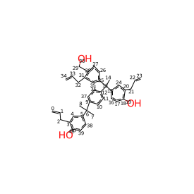 C=CCc1cc(C(C)(C)c2ccc(C(C)(c3ccc(O)c(CC=C)c3)c3ccc(CO)c(CC=C)c3)cc2)ccc1O